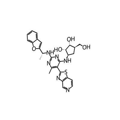 Cc1nc(N[C@H](C)c2cc3ccccc3o2)nc(N[C@@H]2C[C@H](CO)[C@@H](O)[C@H]2O)c1-c1nc2cnccc2s1